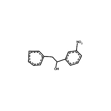 O=[N+]([O-])c1cccc(C(O)Cc2ccccc2)c1